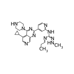 CC/C=N/C(=N\NC)Nc1cc(-c2nc(N3CCNCC3)c3c(C4CC4)cncc3n2)ccn1